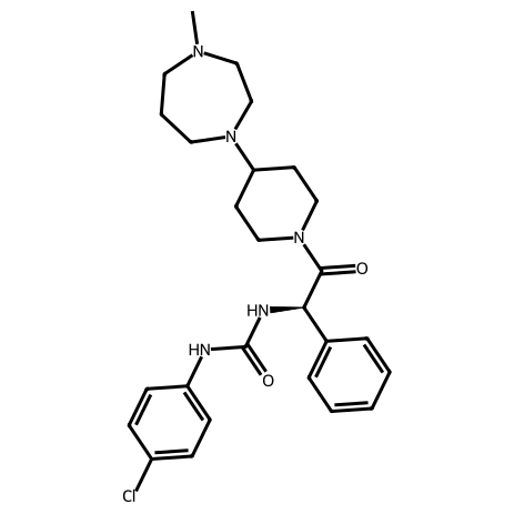 CN1CCCN(C2CCN(C(=O)[C@H](NC(=O)Nc3ccc(Cl)cc3)c3ccccc3)CC2)CC1